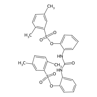 Cc1ccc(C)c(S(=O)(=O)Oc2ccccc2NC(=O)Nc2ccccc2OS(=O)(=O)c2cc(C)ccc2C)c1